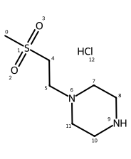 CS(=O)(=O)CCN1CCNCC1.Cl